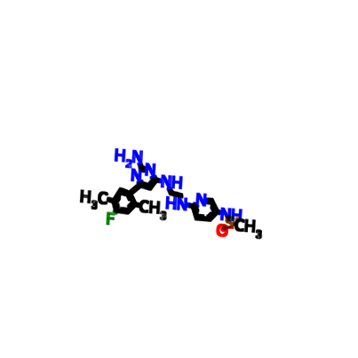 Cc1cc(-c2cc(NCCNc3ccc(N[S+](C)[O-])cn3)nc(N)n2)c(C)cc1F